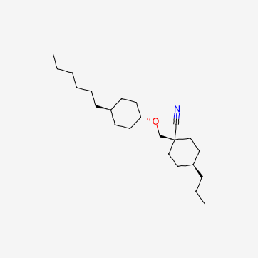 CCCCCC[C@H]1CC[C@H](OC[C@]2(C#N)CC[C@H](CCC)CC2)CC1